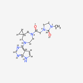 CN1CCN(CC(=O)N2CCN(c3ncnc4[nH]ccc34)CC3(CC3)C2)C1=O